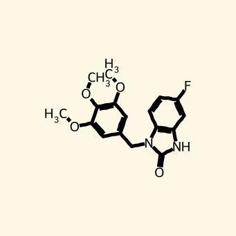 COc1cc(Cn2c(=O)[nH]c3cc(F)ccc32)cc(OC)c1OC